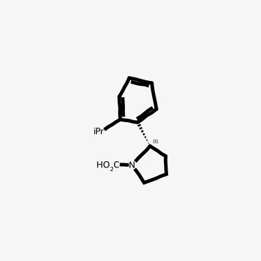 CC(C)c1ccccc1[C@@H]1CCCN1C(=O)O